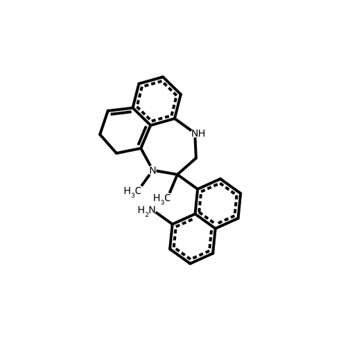 CN1C2=c3c(cccc3=CCC2)NCC1(C)c1cccc2cccc(N)c12